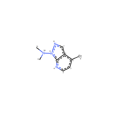 CCc1ccnc2c1cnn2N(C)C